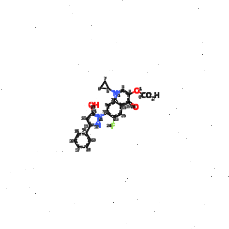 O=C(O)Oc1cn(C2CC2)c2cc(-n3nc(-c4ccccc4)cc3O)c(F)cc2c1=O